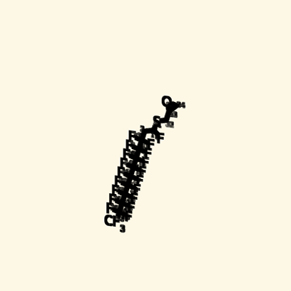 FC(CC(F)(F)C(F)(F)C(F)(F)C(F)(F)C(F)(F)C(F)(F)C(F)(F)C(F)(F)C(F)(F)C(F)(F)F)SCC1CO1